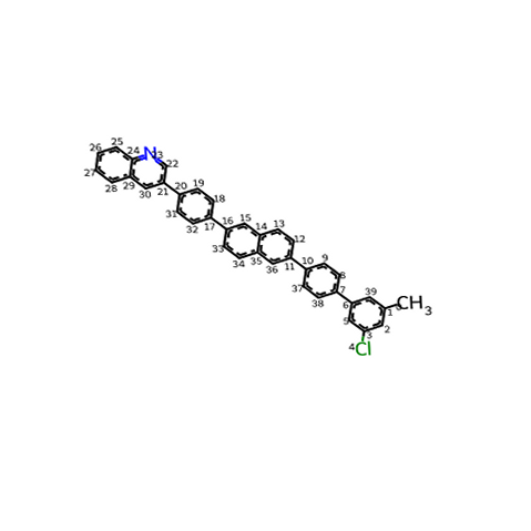 Cc1cc(Cl)cc(-c2ccc(-c3ccc4cc(-c5ccc(-c6cnc7ccccc7c6)cc5)ccc4c3)cc2)c1